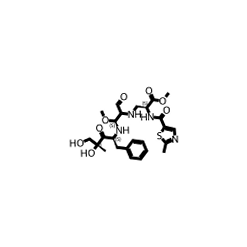 COC(=O)[C@H](CNC(C=O)[C@@H](N[C@@H](Cc1ccccc1)C(=O)[C@](C)(O)CO)OC)NC(=O)c1cnc(C)s1